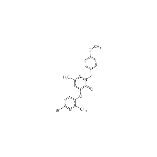 COc1ccc(Cn2nc(C)cc(Oc3ccc(Br)nc3C)c2=O)cc1